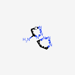 Nc1ccnnn1.c1cnnnc1